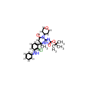 CC(C)(C)OC(=O)N=C1N[C@](C)(c2cccc(Nc3ccccc3)c2Cl)CC(=O)N1C1CCOCC1